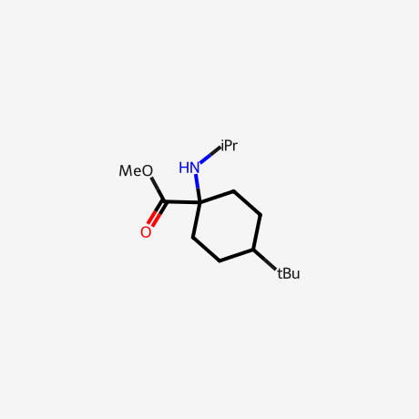 COC(=O)C1(NC(C)C)CCC(C(C)(C)C)CC1